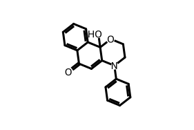 O=C1C=C2N(c3ccccc3)CCOC2(O)c2ccccc21